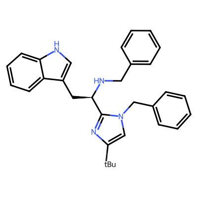 CC(C)(C)c1cn(Cc2ccccc2)c([C@@H](Cc2c[nH]c3ccccc23)NCc2ccccc2)n1